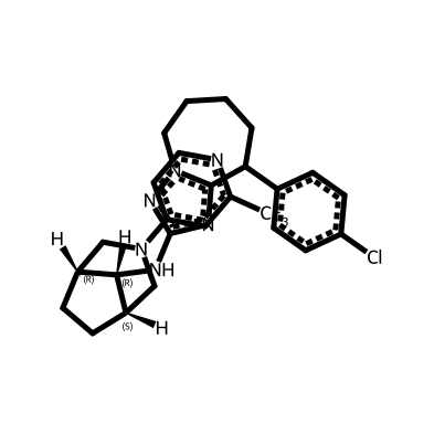 FC(F)(F)c1cc(N2C[C@H]3CC[C@@H](C2)[C@H]3Nc2nc3n(n2)CCCCC3c2ccc(Cl)cc2)ccn1